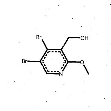 COc1ncc(Br)c(Br)c1CO